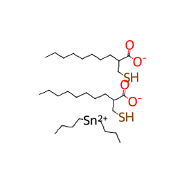 CCCCCCCCC(CS)C(=O)[O-].CCCCCCCCC(CS)C(=O)[O-].CCC[CH2][Sn+2][CH2]CCC